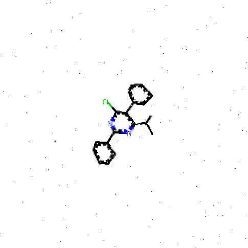 CC(C)c1nc(-c2ccccc2)nc(Cl)c1-c1ccccc1